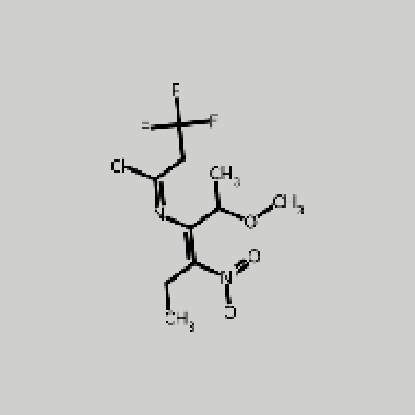 CC/C(=C(\N=C(\Cl)CC(F)(F)F)C(C)OC)[N+](=O)[O-]